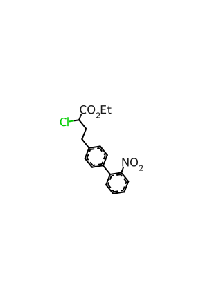 CCOC(=O)C(Cl)CCc1ccc(-c2ccccc2[N+](=O)[O-])cc1